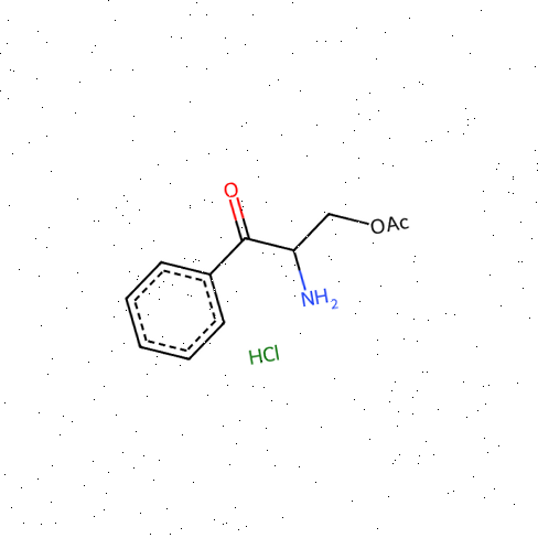 CC(=O)OCC(N)C(=O)c1ccccc1.Cl